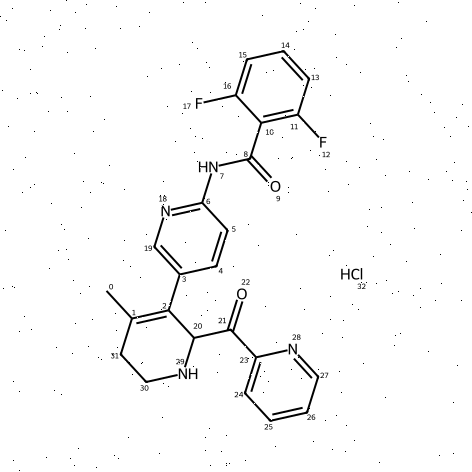 CC1=C(c2ccc(NC(=O)c3c(F)cccc3F)nc2)C(C(=O)c2ccccn2)NCC1.Cl